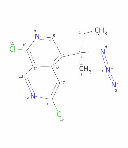 CC[C@@](C)(N=[N+]=[N-])c1cnc(Cl)c2cnc(Cl)cc12